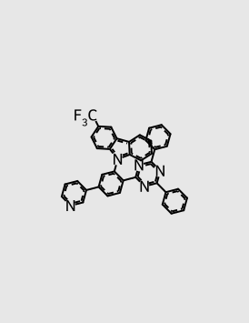 FC(F)(F)c1ccc2c(c1)c1ccccc1n2-c1cc(-c2cccnc2)ccc1-c1nc(-c2ccccc2)nc(-c2ccccc2)n1